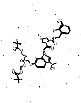 CC(O)c1cn(CC(=O)N2C[C@H](F)C[C@H]2C(=O)NCc2cccc(Cl)c2F)c2cc(OCP(=O)(OCOC(=O)C(C)(C)C)OCOC(=O)C(C)(C)C)ccc12